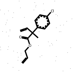 C=CCOC(=O)C(C)(C=C)c1ccc(Cl)cc1